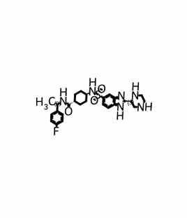 C[C@@H](NC(=O)[C@H]1CC[C@H](NS(=O)(=O)c2ccc3[nH]c([C@@H]4CNCCN4)nc3c2)CC1)c1ccc(F)cc1